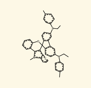 CCN(c1ccc(C)cc1)c1ccc2c(c1)-c1cc(N(CC)c3ccc(C)cc3)ccc1C21Oc2ccccc2-c2c1c1ccccc1n2C